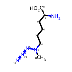 CN(CCCC[C@H](N)C(=O)O)N=[N+]=[N-]